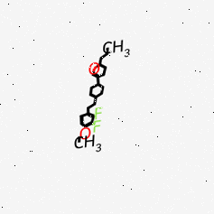 CCCC1CCC(C2CCC(CCc3ccc(OCC)c(F)c3F)CC2)=CO1